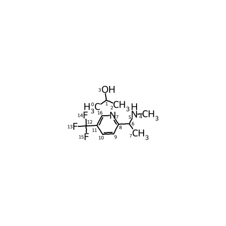 CC(C)O.CNC(C)c1ccc(C(F)(F)F)cn1